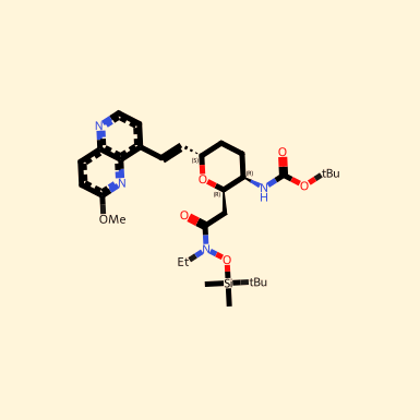 CCN(O[Si](C)(C)C(C)(C)C)C(=O)C[C@H]1O[C@H](C=Cc2ccnc3ccc(OC)nc23)CC[C@H]1NC(=O)OC(C)(C)C